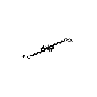 CC1=CC(CCCCCCOC(C)(C)C)=CC1C(Cl)(Cl)C1C=C(CCCCCCOC(C)(C)C)C=C1C